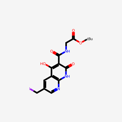 CC(C)(C)OC(=O)CNC(=O)c1c(O)c2cc(CI)cnc2[nH]c1=O